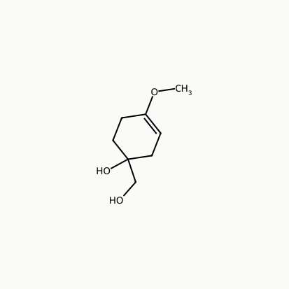 COC1=CCC(O)(CO)CC1